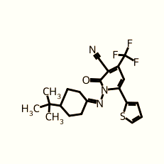 CC(C)(C)C1CCC(=Nn2c(-c3cccs3)cc(C(F)(F)F)c(C#N)c2=O)CC1